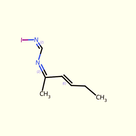 CC/C=C/C(C)=N\C=N/I